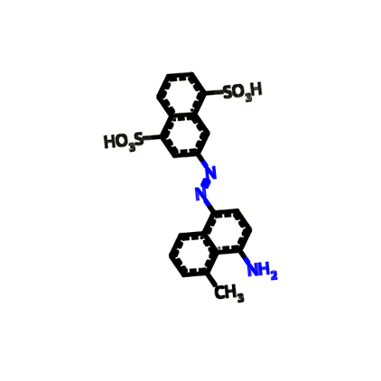 Cc1cccc2c(N=Nc3cc(S(=O)(=O)O)c4cccc(S(=O)(=O)O)c4c3)ccc(N)c12